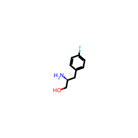 N[C@H](CO)Cc1ccc(F)cc1